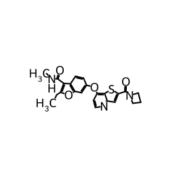 CCc1oc2cc(Oc3ccnc4cc(C(=O)N5CCC5)sc34)ccc2c1C(=O)NC